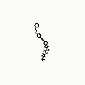 CC(C)(C)c1cc(NC(=O)Nc2cn3ccc(C#Cc4ccc(OCCN5CCCCC5)cc4)cc3n2)no1